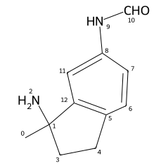 CC1(N)CCc2ccc(NC=O)cc21